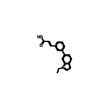 CCn1ccc2ccc(-c3cccc(C=CC(=O)O)c3)cc21